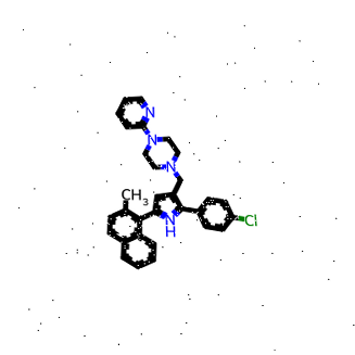 Cc1ccc2ccccc2c1-c1cc(CN2CCN(c3ccccn3)CC2)c(-c2ccc(Cl)cc2)[nH]1